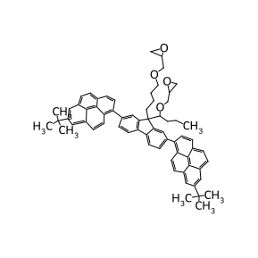 CCCC(OCC1CO1)C1(CCCCOCC2CO2)c2cc(-c3ccc4ccc5cc(C(C)(C)C)cc6ccc3c4c56)ccc2-c2ccc(-c3ccc4ccc5cc(C(C)(C)C)cc6ccc3c4c56)cc21